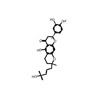 CC(C)(O)CCCC1(C)CCc2c(cc3c(c2O)C(=O)C[C@@H](c2ccc(O)c(O)c2)O3)O1